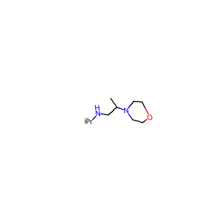 CC(C)NCC(C)N1CCOCC1